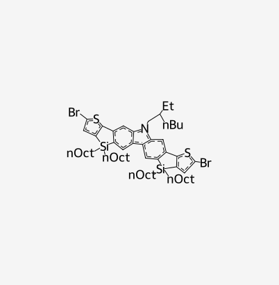 CCCCCCCC[Si]1(CCCCCCCC)c2cc3c4cc5c(cc4n(CC(CC)CCCC)c3cc2-c2sc(Br)cc21)-c1sc(Br)cc1[Si]5(CCCCCCCC)CCCCCCCC